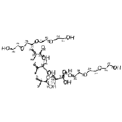 C=C(C)C(=O)O.C=C(C)C(=O)O.C=C(C)C(=O)O.C=C(C)C(=O)O.OCCOCCOCCO.OCCOCCOCCOCCO